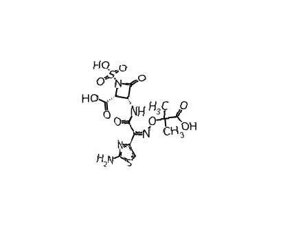 CC(C)(O/N=C(\C(=O)N[C@H]1C(=O)N(S(=O)(=O)O)[C@H]1C(=O)O)c1csc(N)n1)C(=O)O